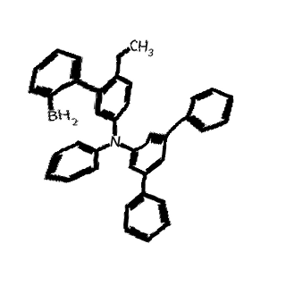 Bc1ccccc1-c1cc(N(c2ccccc2)c2cc(-c3ccccc3)cc(-c3ccccc3)c2)ccc1CC